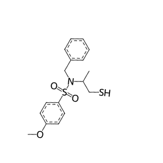 COc1ccc(S(=O)(=O)N(Cc2ccccc2)C(C)CS)cc1